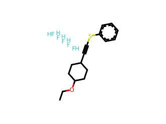 CCOC1CCC(C#CSc2ccccc2)CC1.F.F.F.F.F